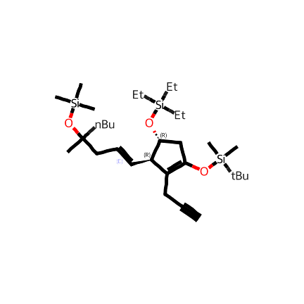 C#CCC1=C(O[Si](C)(C)C(C)(C)C)C[C@@H](O[Si](CC)(CC)CC)[C@@H]1/C=C/CC(C)(CCCC)O[Si](C)(C)C